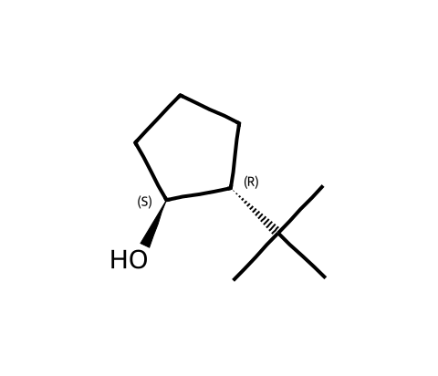 CC(C)(C)[C@H]1CCC[C@@H]1O